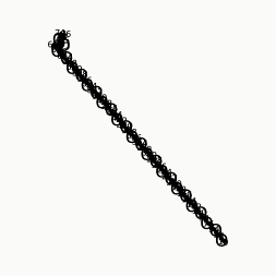 COCCOCCOCCOCCOCCOCCOCCOCCOCCOCCOCCOCCOCCOCCOCCOCCOCCOCCOCCOCCOCCOCCOC(C)C(=O)OC(C)(C)C